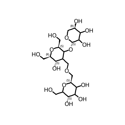 OCC1O[C@@H](COCC2C(O[C@@H]3OC[C@@H](O)C(O)C3O)[C@H](CO)O[C@H](CO)[C@H]2O)C(O)C(O)[C@@H]1O